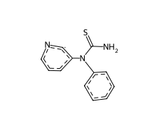 NC(=S)N(c1[c]nccc1)c1ccccc1